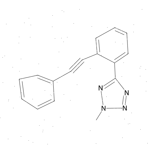 Cn1nnc(-c2ccccc2C#Cc2ccccc2)n1